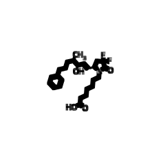 C[C@H](CCCc1ccccc1)[C@@H](O)/C=C/[C@@H]1CC(F)(F)C(=O)N1CCCCCCC(=O)O